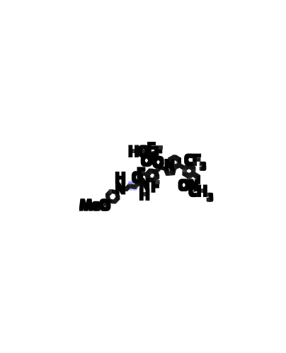 COC1CCC(NC/C=C/C(=O)Nc2c(F)cc(C(=O)c3ccc4c(-c5cc6c(=O)n(C)ccc6cc5C(F)(F)F)cccn34)cc2F)CC1.O=C(O)C(F)(F)F